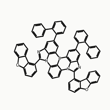 c1ccc(-c2ccccc2-c2cc3c4c(c2)nc(-c2cccc5oc6ccccc6c25)n4-c2cccc4c2B3c2cc(-c3ccccc3-c3ccccc3)cc3nc(-c5cccc6oc7ccccc7c56)n-4c23)cc1